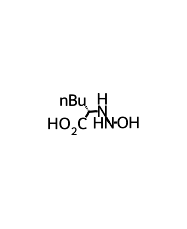 CCCC[C@H](NNO)C(=O)O